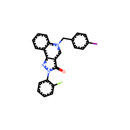 O=c1c2cn(Cc3ccc(I)cc3)c3ccccc3c-2nn1-c1ccccc1F